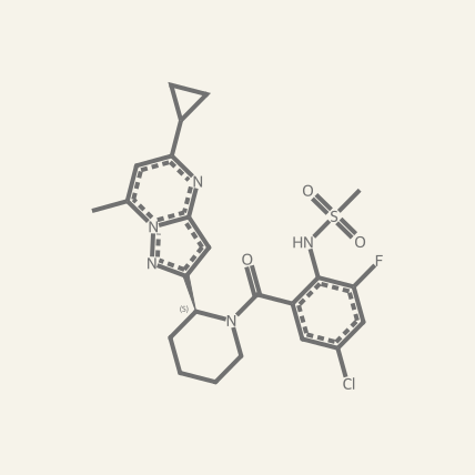 Cc1cc(C2CC2)nc2cc([C@@H]3CCCCN3C(=O)c3cc(Cl)cc(F)c3NS(C)(=O)=O)nn12